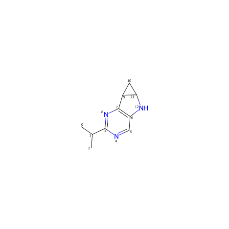 CC(C)c1ncc2c(n1)C1CC1N2